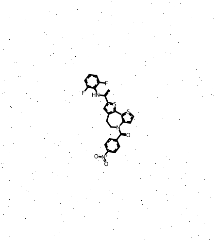 C=C(Nc1c(F)cccc1F)c1cc2c(s1)-c1sccc1N(C(=O)c1ccc([N+](=O)[O-])cc1)CC2